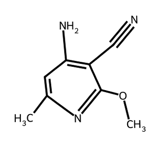 COc1nc(C)cc(N)c1C#N